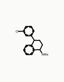 CNC1CCC(c2cccc(Cl)c2)c2ccccc21